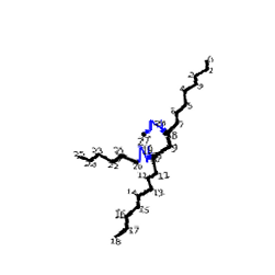 CCCCCCCCC(CC(CCCCCCCC)=NCCCCCC)=NC